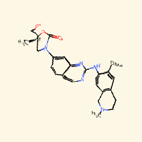 COc1cc2c(cc1Nc1ncc3ccc(N4C[C@](C)(CO)OC4=O)cc3n1)CN(C)CC2